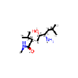 CNC(=O)[C@@H](C[C@H](O)[C@@H](N)CC(C)C)C(C)C